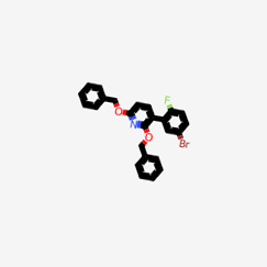 Fc1ccc(Br)cc1-c1ccc(OCc2ccccc2)nc1OCc1ccccc1